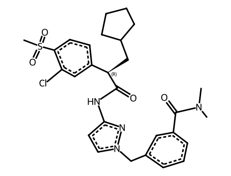 CN(C)C(=O)c1cccc(Cn2ccc(NC(=O)[C@H](CC3CCCC3)c3ccc(S(C)(=O)=O)c(Cl)c3)n2)c1